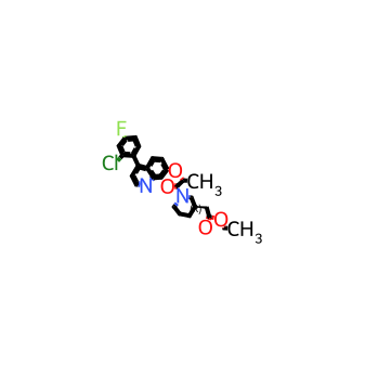 CCOC(=O)C[C@H]1CCCN(C(=O)C(C)Oc2ccc3c(-c4ccc(F)cc4Cl)ccnc3c2)C1